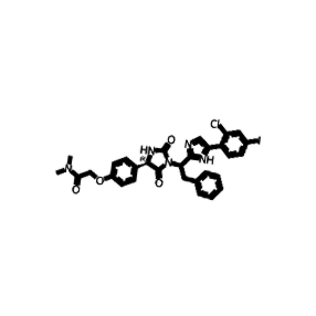 CN(C)C(=O)COc1ccc([C@H]2NC(=O)N(C(Cc3ccccc3)c3ncc(-c4ccc(I)cc4Cl)[nH]3)C2=O)cc1